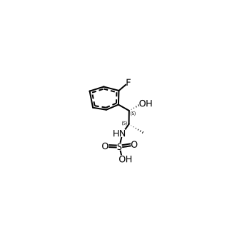 C[C@H](NS(=O)(=O)O)[C@@H](O)c1ccccc1F